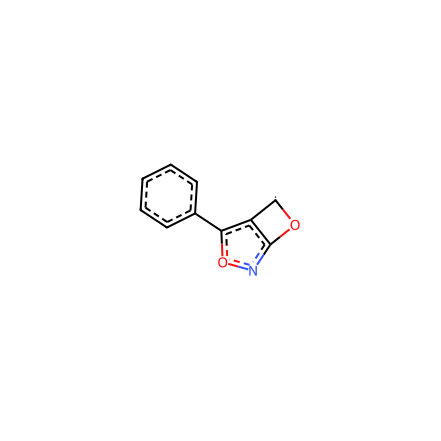 [CH]1Oc2noc(-c3ccccc3)c21